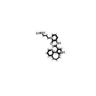 CCNCCCn1cccc(NC(=O)c2c[nH]c3c2-c2ncccc2CCC3)c1=O